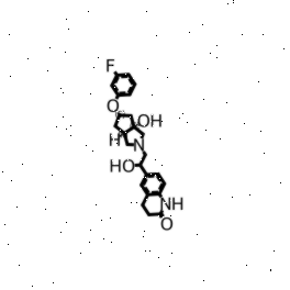 O=C1CCc2cc(C(O)CN3C[C@H]4C[C@H](Oc5cccc(F)c5)C[C@@]4(O)C3)ccc2N1